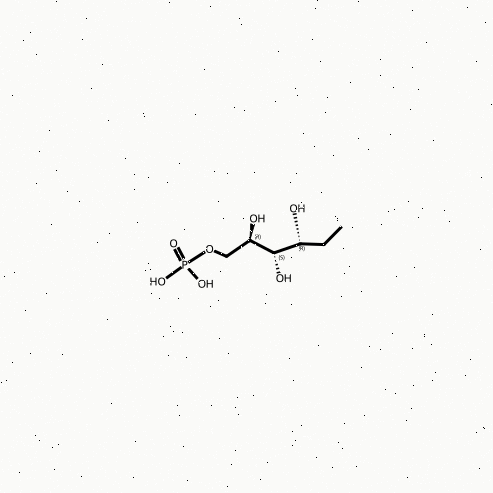 CC[C@@H](O)[C@H](O)[C@H](O)COP(=O)(O)O